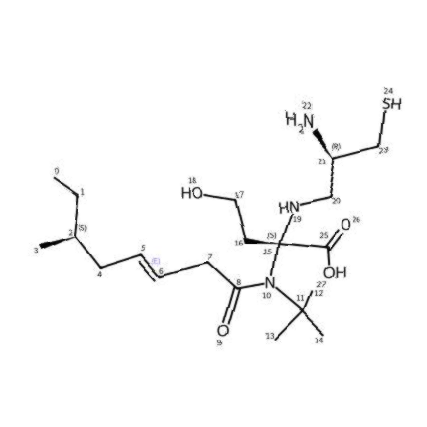 CC[C@H](C)C/C=C/CC(=O)N(C(C)(C)C)[C@](CCO)(NC[C@@H](N)CS)C(=O)O